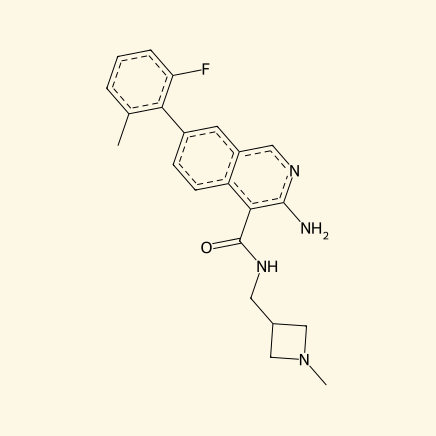 Cc1cccc(F)c1-c1ccc2c(C(=O)NCC3CN(C)C3)c(N)ncc2c1